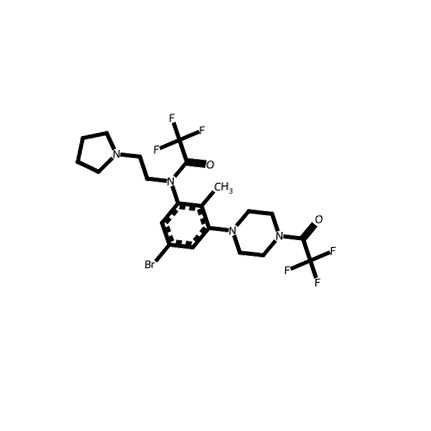 Cc1c(N2CCN(C(=O)C(F)(F)F)CC2)cc(Br)cc1N(CCN1CCCC1)C(=O)C(F)(F)F